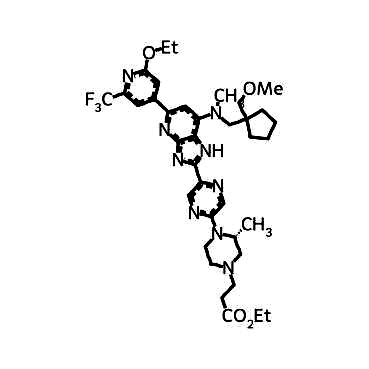 CCOC(=O)CCN1CCN(c2cnc(-c3nc4nc(-c5cc(OCC)nc(C(F)(F)F)c5)cc(N(C)CC5(COC)CCCC5)c4[nH]3)cn2)[C@H](C)C1